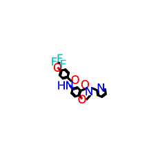 O=C(Nc1ccc2c(c1)C(=O)N(Cc1ccccn1)CCO2)c1ccc(OC(F)(F)F)cc1